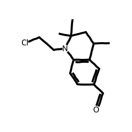 CC1CC(C)(C)N(CCCl)c2ccc(C=O)cc21